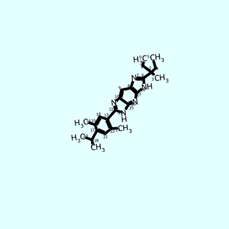 CCC(C)(CC)c1nc2cc3nc(-c4cc(C)c(C(C)C)cc4C)[nH]c3nc2[nH]1